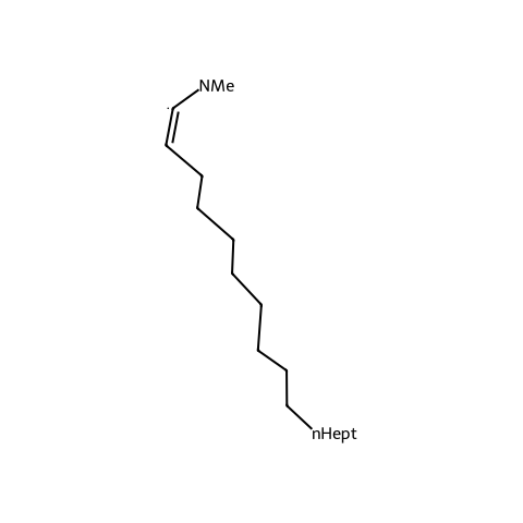 CCCCCCCCCCCCCCC/C=[C]\NC